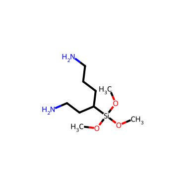 CO[Si](OC)(OC)C(CCN)CCCN